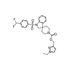 CCn1ccc(COC(=O)N2CCC3(CC2)CN(S(=O)(=O)c2ccc(C(F)F)cc2)c2ccccc23)n1